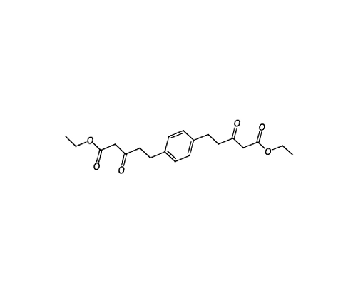 CCOC(=O)CC(=O)CCc1ccc(CCC(=O)CC(=O)OCC)cc1